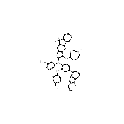 C/C=C\c1sc2c(-c3cc4c5c(c3)N(c3ccc(C(C)(C)C)cc3)c3ccc(C(C)(C)C)cc3B5c3sc5cc6c(cc5c3N4C3=CC=C(C(C)(C)C)C=CC3)-c3ccccc3C6(C)C)cccc2c1C